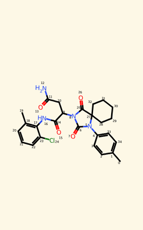 Cc1ccc(N2C(=O)N(C(CC(N)=O)C(=O)Nc3c(C)cccc3Cl)C(=O)C23CCCCC3)cc1